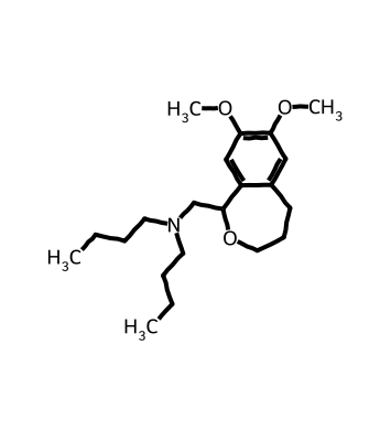 CCCCN(CCCC)CC1OCCCc2cc(OC)c(OC)cc21